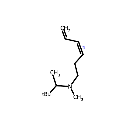 C=C/C=C\CCN(C)C(C)C(C)(C)C